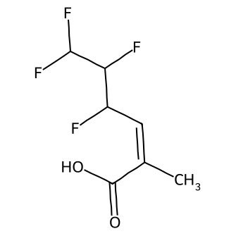 CC(=CC(F)C(F)C(F)F)C(=O)O